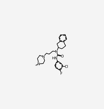 CN1CCN(CCCN(C(=O)Nc2ccc(F)c(Cl)c2)C2CCc3ccccc3C2)CC1